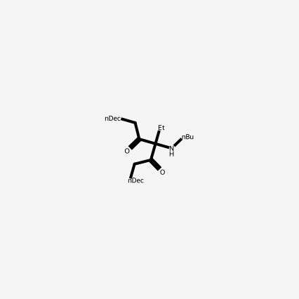 CCCCCCCCCCCC(=O)C(CC)(NCCCC)C(=O)CCCCCCCCCCC